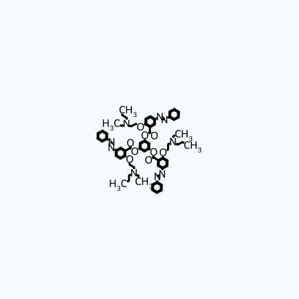 CCCN(CC)CCOc1ccc(N=Nc2ccccc2)cc1C(=O)Oc1cc(OC(=O)c2cc(N=Nc3ccccc3)ccc2OCCN(CC)CCC)cc(OC(=O)c2cc(N=Nc3ccccc3)ccc2OCCN(CC)CCC)c1